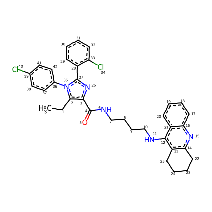 CCc1c(C(=O)NCCCCNc2c3c(nc4ccccc24)CCCC3)nc(-c2ccccc2Cl)n1-c1ccc(Cl)cc1